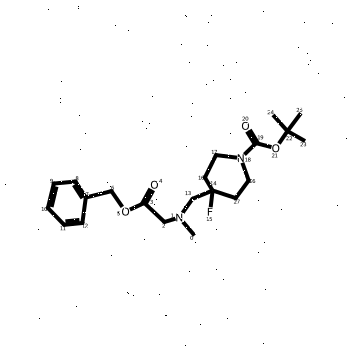 CN(CC(=O)OCc1ccccc1)CC1(F)CCN(C(=O)OC(C)(C)C)CC1